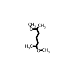 CO[C](C)CCC[C](C)OC